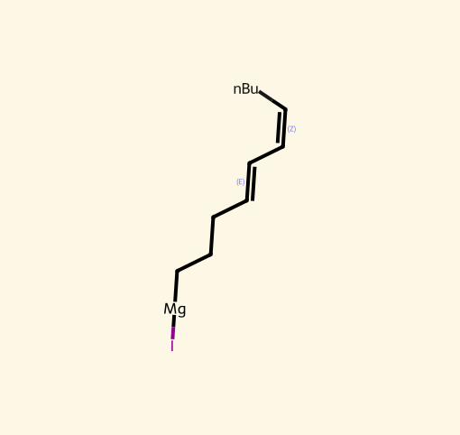 CCCC/C=C\C=C\CC[CH2][Mg][I]